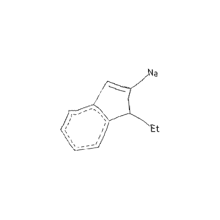 CCC1[C]([Na])=Cc2ccccc21